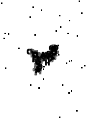 CC(C)(C)[Si](C)(C)OC1=CN([C@H](c2cnc(NC(=O)C3(c4ccc5c(c4)OCO5)CC3)s2)c2ccc(Cl)cc2F)CC1